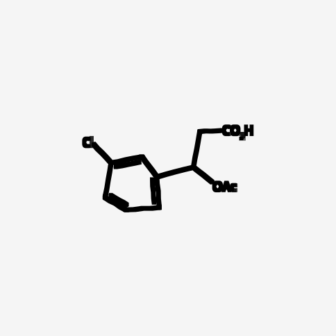 CC(=O)OC(CC(=O)O)c1cccc(Cl)c1